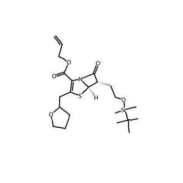 C=CCOC(=O)C1=C(CC2CCCO2)S[C@@H]2[C@@H](CCO[Si](C)(C)C(C)(C)C)C(=O)N12